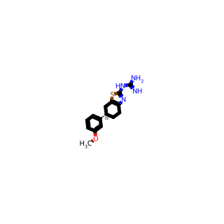 COc1cccc([C@H]2CCc3nc(NC(=N)N)sc3C2)c1